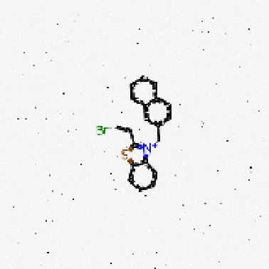 C=Cc1sc2ccccc2[n+]1Cc1ccc2ccccc2c1.[Br-]